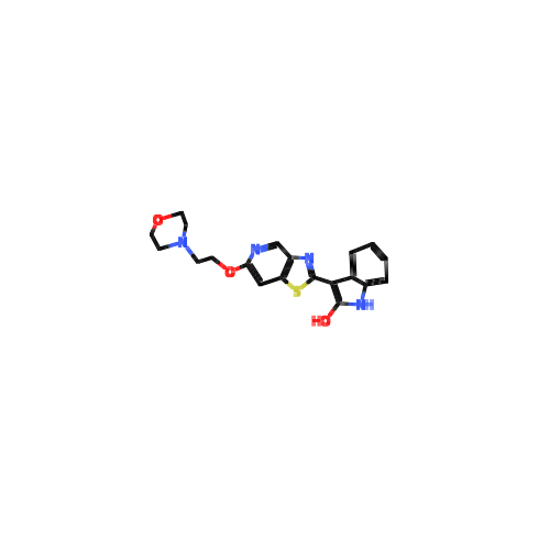 Oc1[nH]c2ccccc2c1-c1nc2cnc(OCCN3CCOCC3)cc2s1